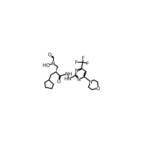 O=CN(O)C[C@H](CC1CCCC1)C(=O)NNc1nc(N2CCOCC2)cc(C(F)(F)F)n1